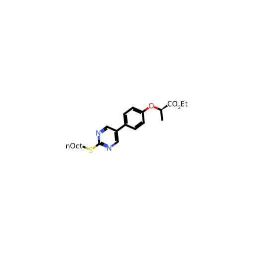 CCCCCCCCSc1ncc(-c2ccc(O[C@H](C)C(=O)OCC)cc2)cn1